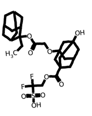 CCC1(OC(=O)COC23CC4CC(O)(C2)CC(C(=O)OCC(F)(F)S(=O)(=O)O)(C4)C3)C2CC3CC(C2)CC1C3